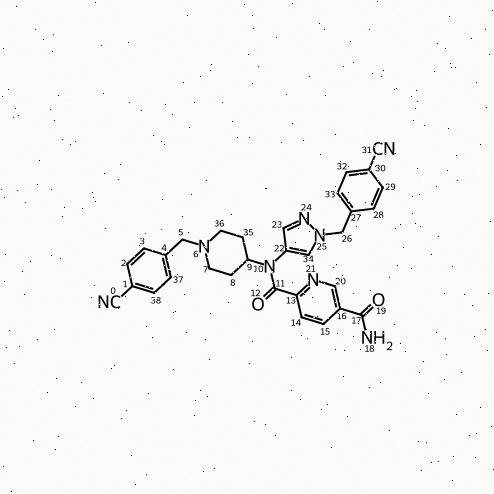 N#Cc1ccc(CN2CCC(N(C(=O)c3ccc(C(N)=O)cn3)c3cnn(Cc4ccc(C#N)cc4)c3)CC2)cc1